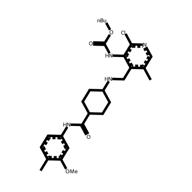 CCCCOC(=O)Nc1c(Cl)ncc(C)c1CNC1CCC(C(=O)Nc2ccc(C)c(OC)c2)CC1